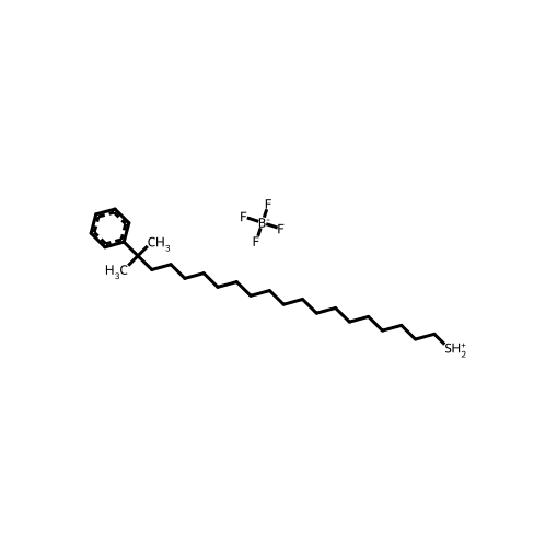 CC(C)(CCCCCCCCCCCCCCCCCC[SH2+])c1ccccc1.F[B-](F)(F)F